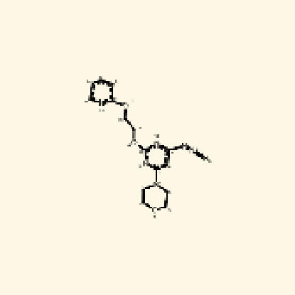 [N-]=[N+]=Nc1cc(N2CCOCC2)nc(OCCOc2ccccn2)n1